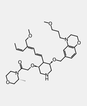 C\C=C/C(=C\C=C\C1[C@@H](OCc2ccc3c(c2)N(CCCOC)CCO3)CNC[C@H]1OCC(=O)N1CCOC[C@H]1C)COC